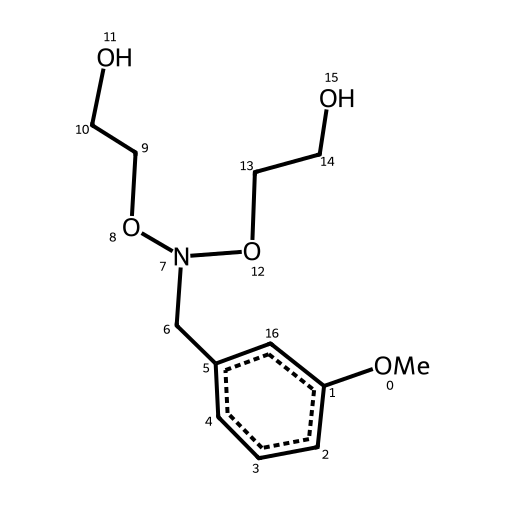 COc1cccc(CN(OCCO)OCCO)c1